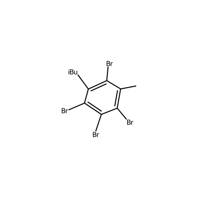 CCC(C)c1c(Br)c(C)c(Br)c(Br)c1Br